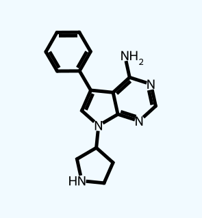 Nc1ncnc2c1c(-c1ccccc1)cn2C1CCNC1